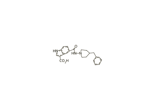 O=C(NN1CCC(Cc2ccccc2)CC1)c1ccc2[nH]cc(C(=O)O)c2c1